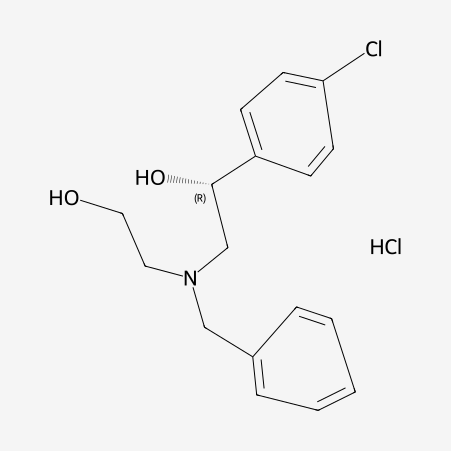 Cl.OCCN(Cc1ccccc1)C[C@H](O)c1ccc(Cl)cc1